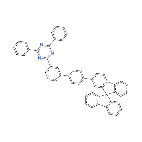 c1ccc(-c2nc(-c3ccccc3)nc(-c3cccc(-c4ccc(-c5ccc6c(c5)C5(c7ccccc7-c7ccccc75)c5ccccc5-6)cc4)c3)n2)cc1